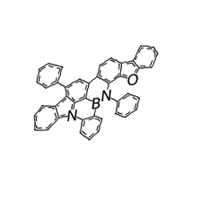 c1ccc(-c2cc3c4c5c2c2ccccc2n5-c2ccccc2B4N(c2ccccc2)c2c-3ccc3c2oc2ccccc23)cc1